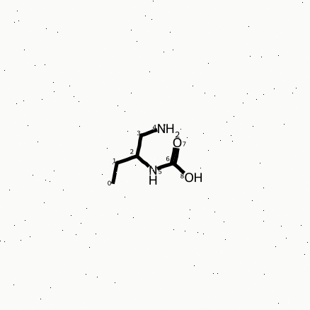 CCC(CN)NC(=O)O